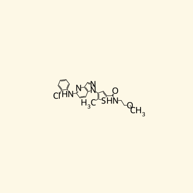 COCCNC(=O)c1cc(-n2ncc3nc(Nc4ccccc4Cl)ccc32)c(C)s1